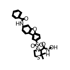 CC1(C)SCCN(S(=O)(=O)c2ccc3oc4cc(NC(=O)c5ccccc5)ccc4c3c2)C1C(=O)NO